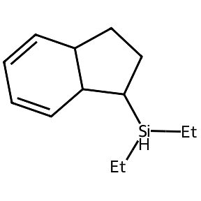 CC[SiH](CC)C1CCC2C=CC=CC21